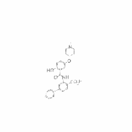 CN1CCC(Oc2ccc(O)c(C(=O)Nc3cc(-c4ccccc4)ccc3C(=O)O)c2)CC1